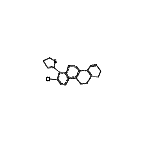 Clc1ccc2c3c(ccc2c1C1=CCCS1)C1=C(CCC=C1)CC3